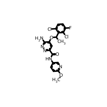 COc1ccc(NC(=O)c2cc(OC(C)c3c(Cl)ccc(F)c3Cl)c(N)nn2)cn1